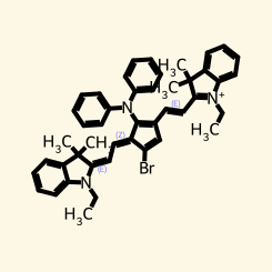 CCN1/C(=C/C=C2\C(Br)=CC(/C=C/C3=[N+](CC)c4ccccc4C3(C)C)=C2N(c2ccccc2)c2ccccc2)C(C)(C)c2ccccc21